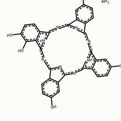 Oc1ccc2c(c1)-c1nc-2nc2[nH]c(nc3nc(nc4[nH]c(n1)c1ccc(O)cc41)-c1ccc(O)cc1-3)c1ccc(O)c(O)c21.[AlH3]